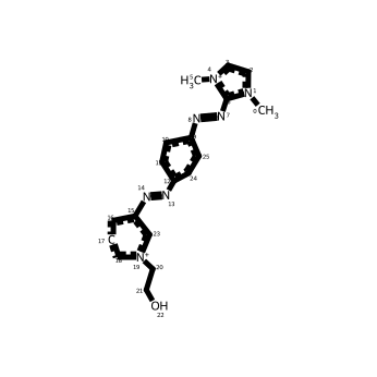 Cn1cc[n+](C)c1N=Nc1ccc(N=Nc2ccc[n+](CCO)c2)cc1